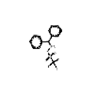 O=S(=O)(O[SiH2]C(c1ccccc1)c1ccccc1)C(F)(F)F